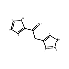 O=C(Cc1c[nH]nn1)c1cccs1